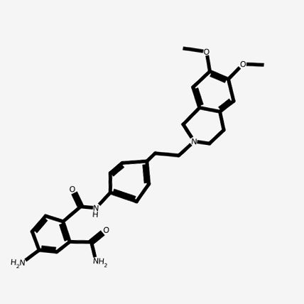 COc1cc2c(cc1OC)CN(CCc1ccc(NC(=O)c3ccc(N)cc3C(N)=O)cc1)CC2